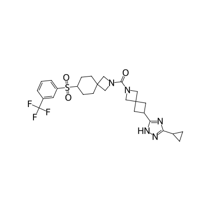 O=C(N1CC2(CCC(S(=O)(=O)c3cccc(C(F)(F)F)c3)CC2)C1)N1CC2(CC(c3nc(C4CC4)n[nH]3)C2)C1